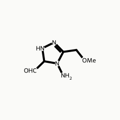 COCC1=NNC(C=O)N1N